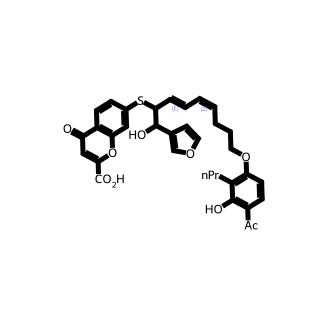 CCCc1c(OCCC/C=C\C=C\C(Sc2ccc3c(=O)cc(C(=O)O)oc3c2)C(O)c2ccoc2)ccc(C(C)=O)c1O